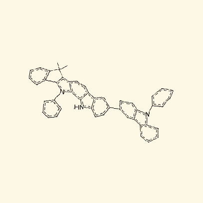 CC1(C)c2ccccc2-c2c1c1ccc3c4cc(-c5ccc6c(c5)c5ccccc5n6-c5ccccc5)ccc4[nH]c3c1n2-c1ccccc1